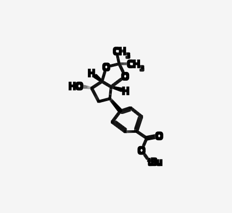 CC(C)(C)OC(=O)c1ccc([C@H]2C[C@H](O)[C@@H]3OC(C)(C)O[C@@H]32)cc1